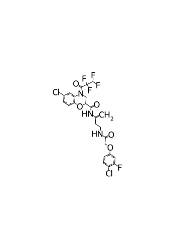 C=C(CCNC(=O)COc1ccc(Cl)c(F)c1)NC(=O)C1CN(C(=O)C(F)(F)C(F)F)c2cc(Cl)ccc2O1